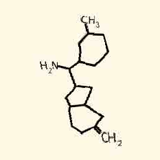 C=C1CCC2CC(C(N)C3CCCC(C)C3)CC2C1